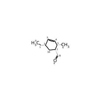 CC[C@@H]1C=C[C@H](C)[C@H](C=O)C1